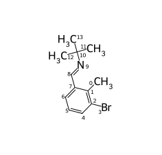 Cc1c(Br)cccc1/C=N/C(C)(C)C